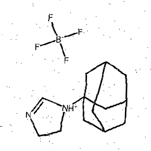 C1=NCC[NH+]1C12CC3CC(CC(C3)C1)C2.F[B-](F)(F)F